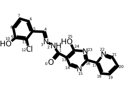 O=C(NN=Cc1cccc(O)c1Cl)c1cnc(-c2ccccn2)nc1O